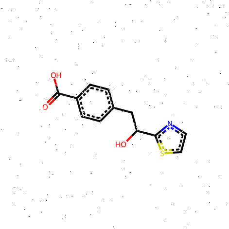 O=C(O)c1ccc(CC(O)c2nccs2)cc1